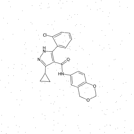 O=C(Nc1ccc2c(c1)COCO2)c1c(C2CC2)n[nH]c1-c1ccccc1Cl